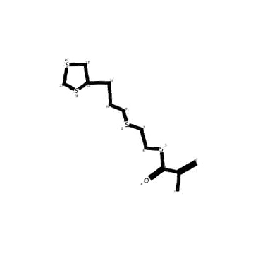 C=C(C)C(=O)SCCSCCCC1CSCS1